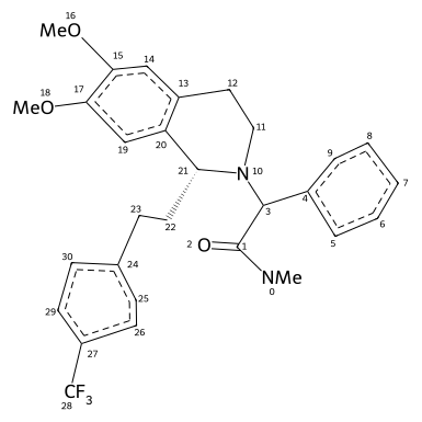 CNC(=O)C(c1ccccc1)N1CCc2cc(OC)c(OC)cc2[C@H]1CCc1ccc(C(F)(F)F)cc1